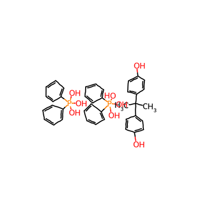 CC(C)(c1ccc(O)cc1)c1ccc(O)cc1.OP(O)(O)(c1ccccc1)c1ccccc1.OP(O)(O)(c1ccccc1)c1ccccc1